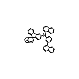 c1cc(-c2cccc3ccccc23)cc(N(c2ccc3c(c2)-c2ccccc2C32C3CC4CC(C3)CC2C4)c2cccc3ccccc23)c1